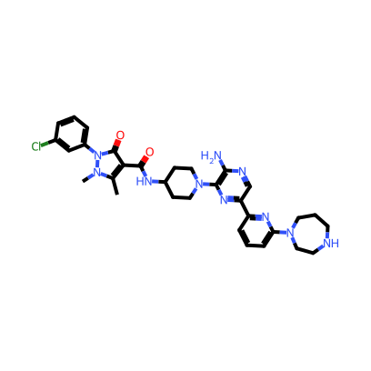 Cc1c(C(=O)NC2CCN(c3nc(-c4cccc(N5CCCNCC5)n4)cnc3N)CC2)c(=O)n(-c2cccc(Cl)c2)n1C